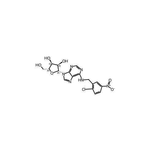 O=[N+]([O-])c1ccc(Cl)c(CNc2ncnc3c2ncn3[C@@H]2O[C@H](CO)[C@@H](O)[C@H]2O)c1